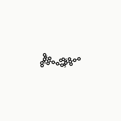 c1ccc(-c2ccc(-c3c4ccccc4c(-c4cc5sc6ccc(-c7ccc(-c8ccc(-c9c%10ccccc%10c(-c%10c%11sc%12ccccc%12c%11cc%11c%10sc%10c%12ccccc%12ccc%11%10)c%10ccccc9%10)cc8)cc7)cc6c5c5c4sc4ccc6ccccc6c45)c4ccccc34)cc2)cc1